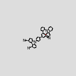 N#Cc1cc(-c2ccc(-n3c4ccc(C#N)cc4c4c(C#N)cccc43)cc2)cc(-c2ccccc2N2c3ccccc3C3C=CC=CC32)c1